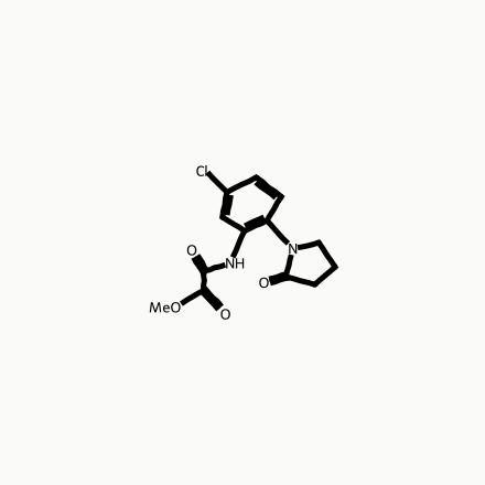 COC(=O)C(=O)Nc1cc(Cl)ccc1N1CCCC1=O